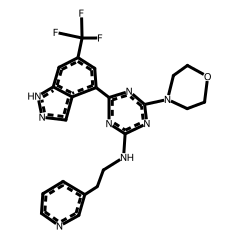 FC(F)(F)c1cc(-c2nc(NCCc3cccnc3)nc(N3CCOCC3)n2)c2cn[nH]c2c1